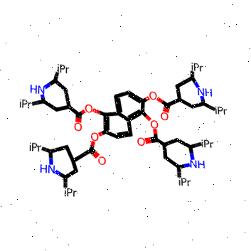 CC(C)C1CC(C(=O)Oc2ccc3c(OC(=O)C4CC(C(C)C)NC(C(C)C)C4)c(OC(=O)C4CC(C(C)C)NC(C(C)C)C4)ccc3c2OC(=O)C2CC(C(C)C)NC(C(C)C)C2)CC(C(C)C)N1